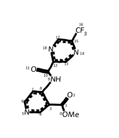 COC(=O)c1cnccc1NC(=O)c1cnc(C(F)(F)F)cn1